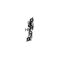 Cc1ccc(S(=O)(=O)n2ccc3c(NC4CCN(CC(F)(F)c5ccc(C)cn5)CC4)ncnc32)cc1